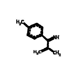 C=C(C)C(=N)c1ccc(C)cc1